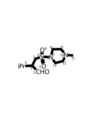 CC(C)C(C=O)CS(=O)(=O)N1CCN(C)CC1